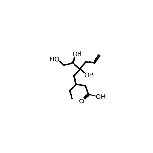 C=CCC(O)(CC(CC)CC(=O)O)C(O)CO